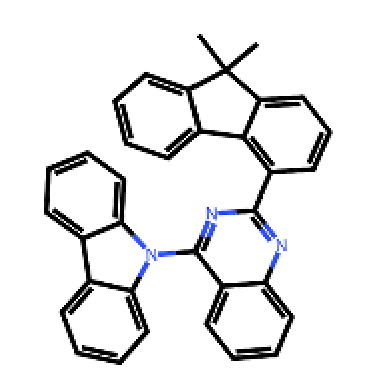 CC1(C)c2ccccc2-c2c(-c3nc(-n4c5ccccc5c5ccccc54)c4ccccc4n3)cccc21